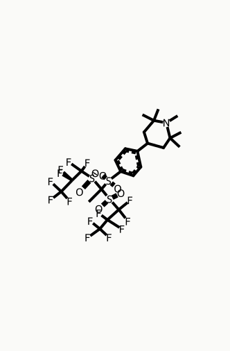 CN1C(C)(C)CC(c2ccc(S(=O)(=O)C(C)(S(=O)(=O)C(F)(F)C(F)(F)C(F)(F)F)S(=O)(=O)C(F)(F)C(F)(F)C(F)(F)F)cc2)CC1(C)C